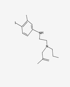 C=C(C)CN(CCC)CCNc1ccc(I)c(C)c1